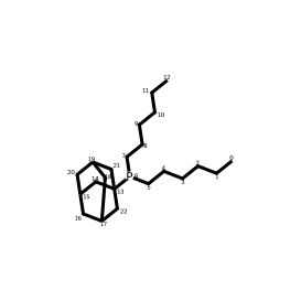 CCCCCCP(CCCCCC)C12CC3CC(CC(C3)C1)C2